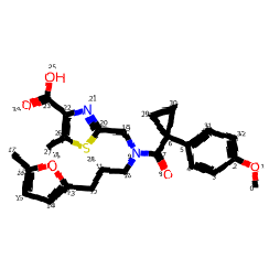 COc1ccc(C2(C(=O)N(CCCc3ccc(C)o3)Cc3nc(C(=O)O)c(C)s3)CC2)cc1